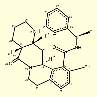 C[C@@H](NC(=O)c1c(F)ccc2c1[C@@H]1C[C@H]3NCCC[C@H]3C(=O)N1CC2)c1ccccc1